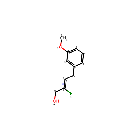 COc1cccc(C/C=C(\F)CO)c1